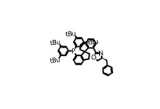 CC(C)(C)c1cc(P(c2cc(C(C)(C)C)cc(C(C)(C)C)c2)c2cccc3c2C2(CCc4cccc(C5=N[C@@H](Cc6ccccc6)CO5)c42)CC3)cc(C(C)(C)C)c1